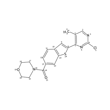 Cc1cnc(Cl)nc1-c1cc2ccc(C(=O)N3CCOCC3)cc2s1